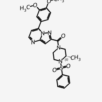 COc1ccc(-c2ccnc3cc(C(=O)N4CCN(S(=O)(=O)c5ccccc5)[C@@H](C)C4)nn23)cc1OC